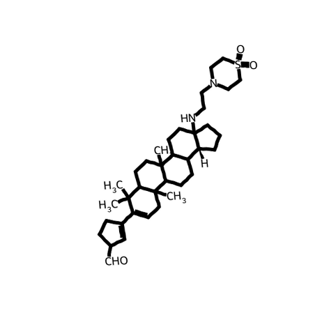 CC1(C)C(C2=CC(C=O)CC2)=CCC2(C)C1CCC1(C)C3CCC4(NCCN5CCS(=O)(=O)CC5)CCC[C@@H]4C3CCC12